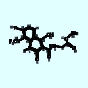 Cn1c(=O)c(C(=O)NCC(=O)OC(C)(C)C)c(O)c2ccc(F)c(NC(F)(F)F)c21